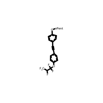 CCCCCOc1ccc(C#Cc2ccc(OC(F)(F)C(F)C(F)(F)F)cc2)cc1